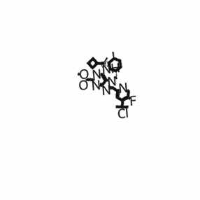 COC(=O)c1nc(N[C@H](C)C2CCC2)c2c(n1)nc(-c1cc(C(C)(C)Cl)c(F)cn1)n2C[C@H]1CC[C@H](C)CC1